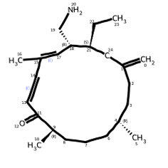 C=C1CC[C@H](C)CCC[C@@H](C)C(=O)/C=C/C(C)=C/[C@H](CN)[C@@H](CC)C1